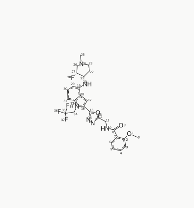 COc1ccccc1C(=O)NCc1nnc(-c2cc3c(N[C@H]4CCN(C)C[C@H]4F)cccc3n2CC(F)(F)F)o1